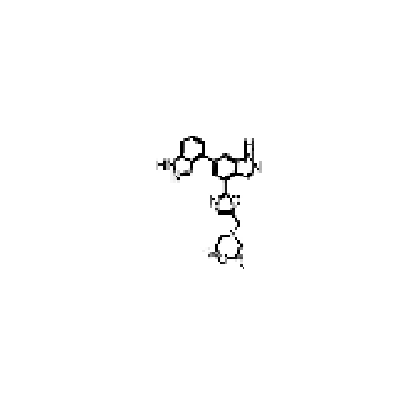 C[C@@H]1CN(Cc2cnc(-c3cc(-c4cccc5[nH]ncc45)cc4[nH]ncc34)o2)C[C@H](C)O1